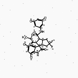 CN(O)C(=O)C1C(C(=O)Nc2cc(Cl)cc(Cl)c2)C2CC(F)(F)CN2C12C(=O)Nc1c(Cl)cc(Cl)cc12